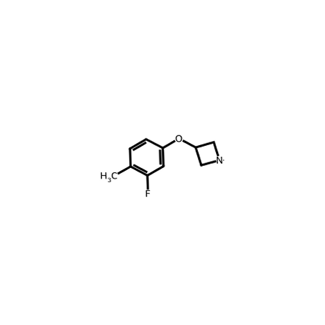 Cc1ccc(OC2C[N]C2)cc1F